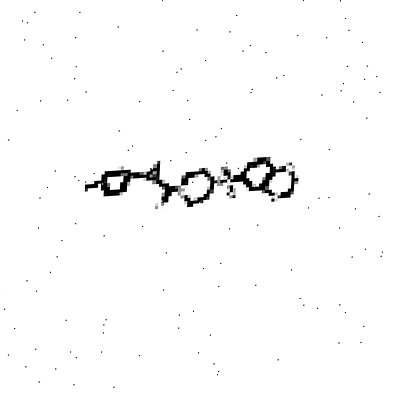 Cc1ccc(C2CC2C(=O)N2CCN(S(=O)(=O)c3ccc4c(c3)OCCO4)CC2)cc1